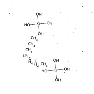 C.C.C.C.C.C.O[Si](O)(O)O.O[Si](O)(O)O.[LiH]